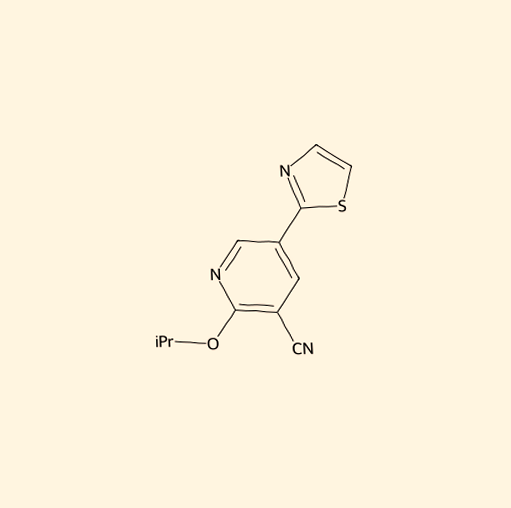 CC(C)Oc1ncc(-c2nccs2)cc1C#N